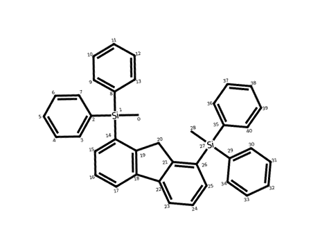 C[Si](c1ccccc1)(c1ccccc1)c1cccc2c1Cc1c-2cccc1[Si](C)(c1ccccc1)c1ccccc1